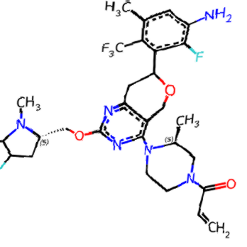 C=CC(=O)N1CCN(c2nc(OC[C@@H]3CC(F)CN3C)nc3c2COC(c2c(F)c(N)cc(C)c2C(F)(F)F)C3)[C@@H](C)C1